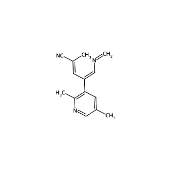 C=N/C=C(\C=C(/C)C#N)c1cc(C)cnc1C